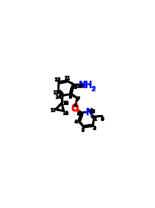 Cc1cccc(OCc2c(N)cccc2C2CC2)n1